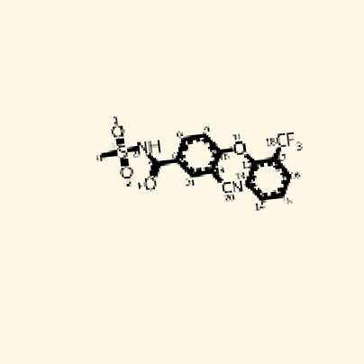 CS(=O)(=O)NC(=O)c1ccc(Oc2ccccc2C(F)(F)F)c(C#N)c1